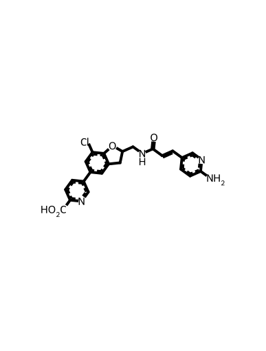 Nc1ccc(/C=C/C(=O)NCC2Cc3cc(-c4ccc(C(=O)O)nc4)cc(Cl)c3O2)cn1